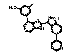 Cc1cc(F)cc(-c2cncc3[nH]c(-c4n[nH]c5ccc(-c6cccnc6)nc45)nc23)c1